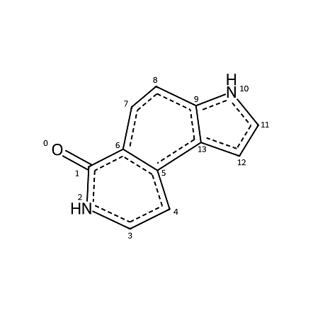 O=c1[nH]ccc2c1ccc1[nH]ccc12